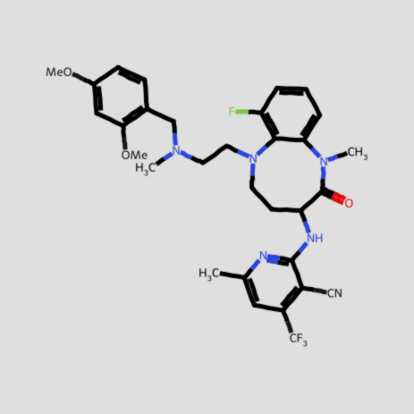 COc1ccc(CN(C)CCN2CCC(Nc3nc(C)cc(C(F)(F)F)c3C#N)C(=O)N(C)c3cccc(F)c32)c(OC)c1